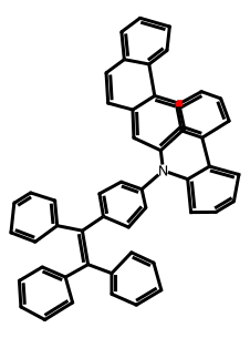 c1ccc(C(=C(c2ccccc2)c2ccc(N(c3ccc4c(ccc5ccccc54)c3)c3ccccc3-c3ccccc3)cc2)c2ccccc2)cc1